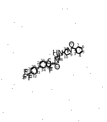 O=C(c1ccccc1)N1CCC(NC2CN(C(=O)c3sc4ccc(-c5ccc(C(F)(F)F)cc5)cc4c3F)C2)C1